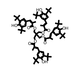 CC(=Cc1cc(C(C)(C)C)c(O)c(C(C)(C)C)c1)C(=O)OCC(COC(=O)C(C)=Cc1cc(C(C)(C)C)c(O)c(C(C)(C)C)c1)(COC(=O)C(C)=Cc1cc(C(C)(C)C)c(O)c(C(C)(C)C)c1)COC(=O)C(C)=Cc1cc(C(C)(C)C)c(O)c(C(C)(C)C)c1